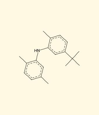 Cc1ccc(C)c(Nc2cc(C(C)(C)C)ccc2C)c1